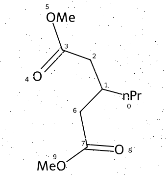 CCCC(CC(=O)OC)CC(=O)OC